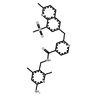 Cc1ccc2cc(Cc3cc(C(=O)NCc4c(C)cc(N)nc4C)ccn3)cc(S(C)(=O)=O)c2n1